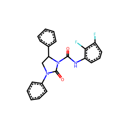 O=C(Nc1cccc(F)c1F)N1C(=O)N(c2ccccc2)CC1c1ccccc1